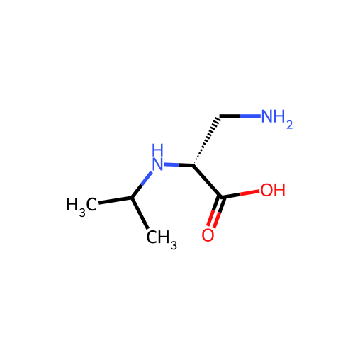 CC(C)N[C@H](CN)C(=O)O